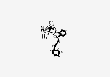 CC1(C)OB(C2=C(C(=O)C=Cc3ccccc3)CCCC2)OC1(C)C